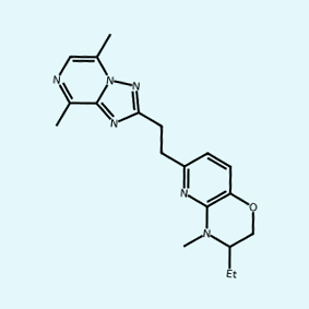 CCC1COc2ccc(CCc3nc4c(C)ncc(C)n4n3)nc2N1C